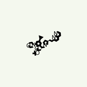 CC(C)(C)OC(=O)C[C@@H](CN1CC[C@@H](CCc2ccc3cccnc3n2)C1)c1cc(C2CC2)cc(N2CCOCC2)c1